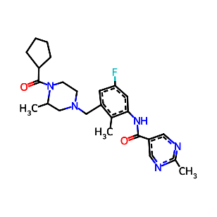 Cc1ncc(C(=O)Nc2cc(F)cc(CN3CCN(C(=O)C4CCCC4)C(C)C3)c2C)cn1